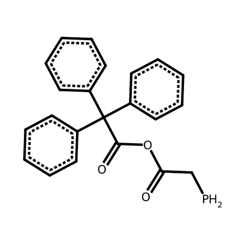 O=C(CP)OC(=O)C(c1ccccc1)(c1ccccc1)c1ccccc1